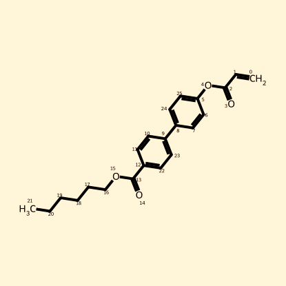 C=CC(=O)Oc1ccc(-c2ccc(C(=O)OCCCCCC)cc2)cc1